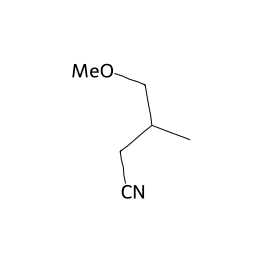 COCC(C)CC#N